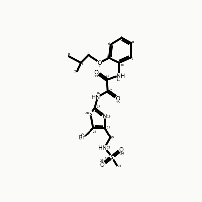 CC(C)COc1ccccc1NC(=O)C(=O)Nc1nc(CNS(C)(=O)=O)c(Br)s1